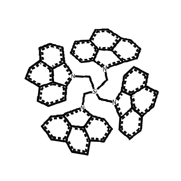 c1cc2ccc3cccc4c3c2c(c1)n4C[Si](Cn1c2cccc3ccc4cccc1c4c32)(Cn1c2cccc3ccc4cccc1c4c32)Cn1c2cccc3ccc4cccc1c4c32